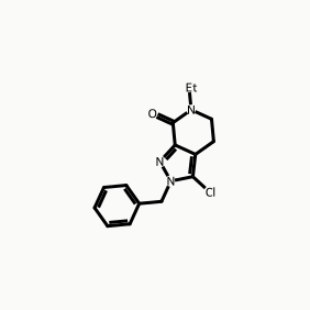 CCN1CCc2c(nn(Cc3ccccc3)c2Cl)C1=O